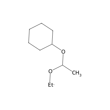 C[CH]OC(C)OC1CCCCC1